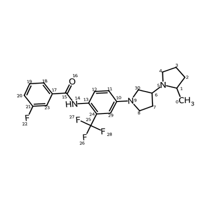 CC1CCCN1C1CCN(c2ccc(NC(=O)c3cccc(F)c3)c(C(F)(F)F)c2)C1